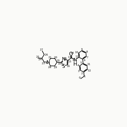 CCc1ccc(-c2ccccc2NC(=O)c2csc(C3CCN(CC(C)CC)CC3)n2)cc1